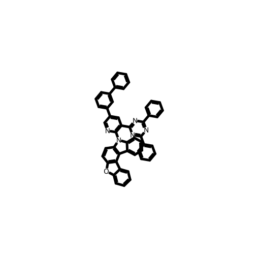 c1ccc(-c2cccc(-c3cnc(-n4c5ccccc5c5c6c(ccc54)oc4ccccc46)c(-c4nc(-c5ccccc5)nc(-c5ccccc5)n4)c3)c2)cc1